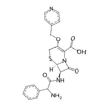 NC(C(=O)N[C@@H]1C(=O)N2C(C(=O)O)=C(OCc3ccncc3)CS[C@H]12)c1ccccc1